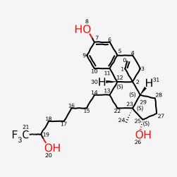 C=CC12CCc3cc(O)ccc3[C@H]1C(CCCCCC(O)C(F)(F)F)C[C@]1(C)[C@@H](O)CC[C@@H]21